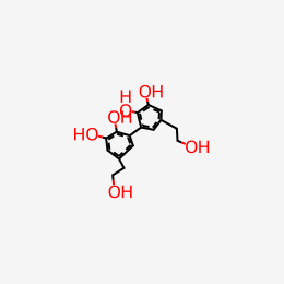 OCCc1cc(O)c(O)c(-c2cc(CCO)cc(O)c2O)c1